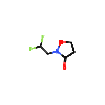 O=C1[CH]CON1CC(F)F